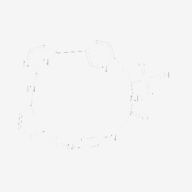 CS(=O)(=O)C1Cc2ccc(cn2)-c2ccnc(n2)Nc2cccc(c2)CN2CCN(CC2)CC(=O)N1